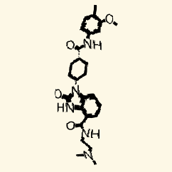 COc1cc(NC(=O)[C@H]2CC[C@@H](n3c(=O)[nH]c4c(C(=O)NCCN(C)C)cccc43)CC2)ccc1C